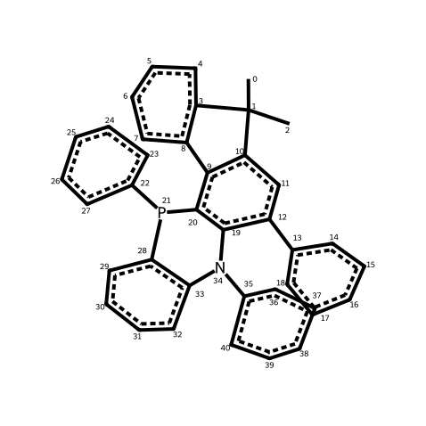 CC1(C)c2ccccc2-c2c1cc(-c1ccccc1)c1c2P(c2ccccc2)c2ccccc2N1c1ccccc1